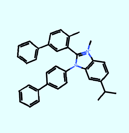 Cc1ccc(-c2ccccc2)cc1-c1n(-c2ccc(-c3ccccc3)cc2)c2cc(C(C)C)ccc2[n+]1C